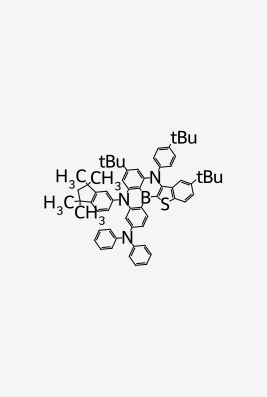 CC(C)(C)c1ccc(N2c3cc(C(C)(C)C)cc4c3B(c3ccc(N(c5ccccc5)c5ccccc5)cc3N4c3ccc4c(c3)C(C)(C)CC4(C)C)c3sc4ccc(C(C)(C)C)cc4c32)cc1